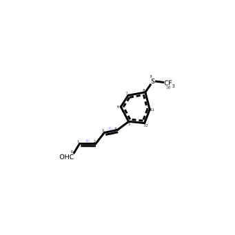 O=C/C=C/C=C/c1ccc(SC(F)(F)F)cc1